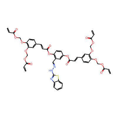 C=CC(=O)OCOc1ccc(/C=C/C(=O)Oc2ccc(OC(=O)/C=C/c3ccc(OCOC(=O)C=C)c(OCOC(=O)C=C)c3)c(/C=N/Nc3nc4ccccc4s3)c2)cc1OCOC(=O)C=C